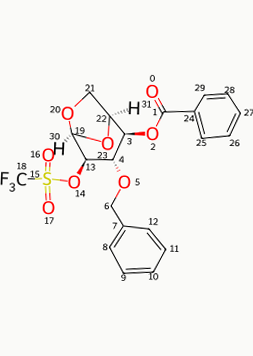 O=C(O[C@H]1[C@H](OCc2ccccc2)[C@@H](OS(=O)(=O)C(F)(F)F)[C@H]2OC[C@@H]1O2)c1ccccc1